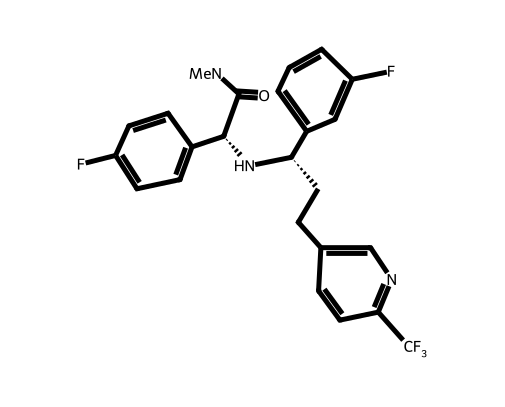 CNC(=O)[C@H](N[C@@H](CCc1ccc(C(F)(F)F)nc1)c1cccc(F)c1)c1ccc(F)cc1